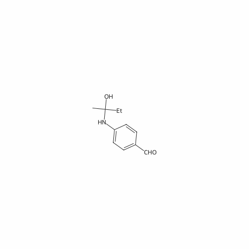 CCC(C)(O)Nc1ccc(C=O)cc1